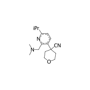 CC(C)c1ccc(C2(C#N)CCOCC2)c(CN(C)C)n1